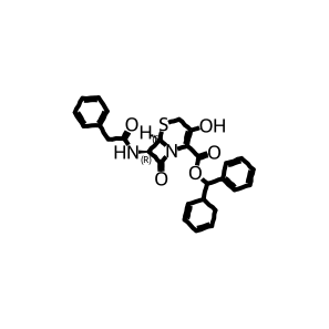 O=C(Cc1ccccc1)N[C@@H]1C(=O)N2C(C(=O)OC(c3ccccc3)C3C=CC=CC3)=C(O)CS[C@H]12